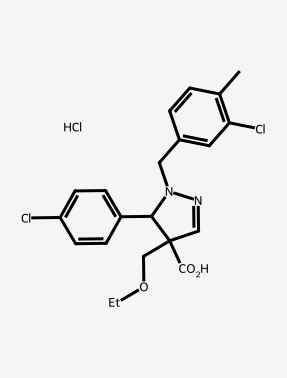 CCOCC1(C(=O)O)C=NN(Cc2ccc(C)c(Cl)c2)C1c1ccc(Cl)cc1.Cl